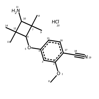 COc1cc(OC2C(C)(C)C(N)C2(C)C)ccc1C#N.Cl